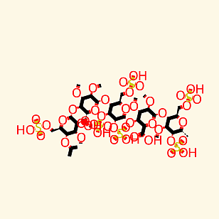 CO[C@@H]1[C@@H](OC)[C@H](O[C@H]2[C@H](OS(=O)(=O)O)[C@@H](OS(=O)(=O)O)[C@@H](O[C@@H]3C(C(=O)O)O[C@@H](O[C@H]4[C@H](OC)[C@@H](OS(=O)(=O)O)[C@@H](C)O[C@@H]4COS(=O)(=O)O)[C@H](OC)[C@H]3OC)O[C@@H]2COS(=O)(=O)O)O[C@H](C(=O)O)[C@H]1O[C@H]1O[C@H](COS(=O)(=O)O)[C@@H](OC(C)C)[C@H](OC)[C@H]1OC